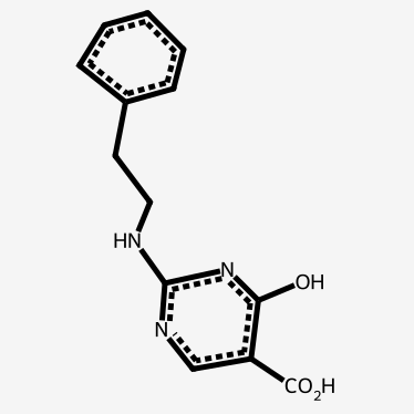 O=C(O)c1cnc(NCCc2ccccc2)nc1O